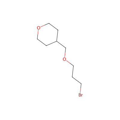 BrCCCOCC1CCOCC1